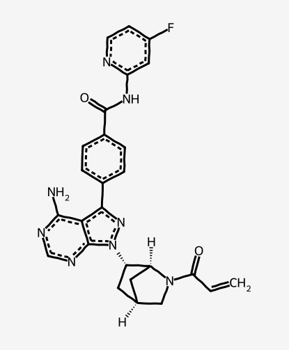 C=CC(=O)N1C[C@@H]2C[C@H]1[C@@H](n1nc(-c3ccc(C(=O)Nc4cc(F)ccn4)cc3)c3c(N)ncnc31)C2